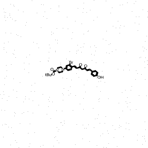 CC(C)(C)OC(=O)N1CCN(c2ccc(C=CC(=O)CC(=O)C=Cc3ccc(O)cc3)c(Br)c2)CC1